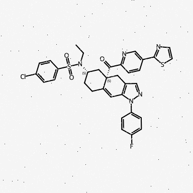 CCN([C@H]1CCC2=Cc3c(cnn3-c3ccc(F)cc3)C[C@]2(C(=O)c2ccc(-c3nccs3)cn2)C1)S(=O)(=O)c1ccc(Cl)cc1